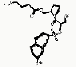 COc1ccc2ccc(S(=O)(=O)NC(CO)C(=O)N3CCCC3CNC(=O)CCCN)cc2c1